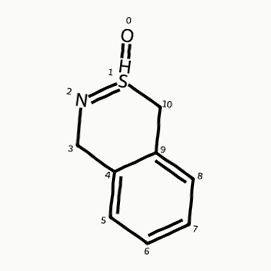 O=[SH]1=NCc2ccccc2C1